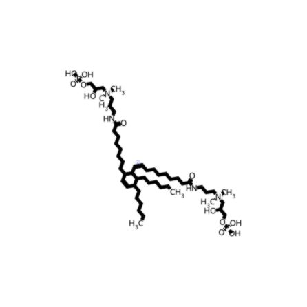 CCCCCCC1C=CC(CCCCCCCC(=O)NCCC[N+](C)(C)CC(O)COP(=O)(O)O)C(/C=C\CCCCCCCC(=O)NCCC[N+](C)(C)CC(O)COP(=O)(O)O)C1CCCCCC